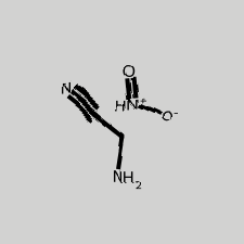 N#CCN.O=[NH+][O-]